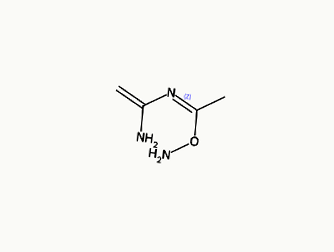 C=C(N)/N=C(/C)ON